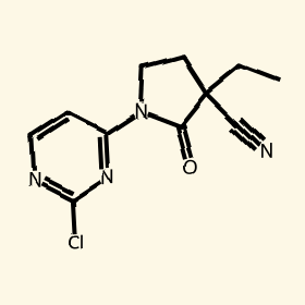 CCC1(C#N)CCN(c2ccnc(Cl)n2)C1=O